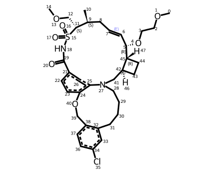 COCCO[C@H]1/C=C/C[C@H](C)[C@@H](COC)S(=O)(=O)NC(=O)c2ccc3c(c2)N(CCCCc2cc(Cl)ccc2CO3)C[C@@H]2CC[C@H]21